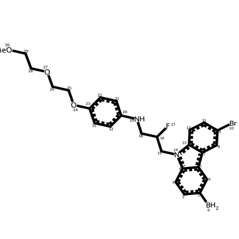 Bc1ccc2c(c1)c1cc(Br)ccc1n2CC(F)CNc1ccc(OCCOCCOC)cc1